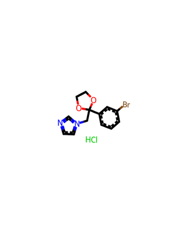 Brc1cccc(C2(Cn3ccnc3)OCCO2)c1.Cl